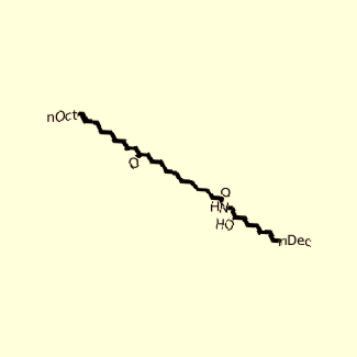 CCCCCCCCC=CCCCCCCCC(=O)CCCCCCCCCCC(=O)NC[C@@H](O)CCCCCCCCCCCCCCCC